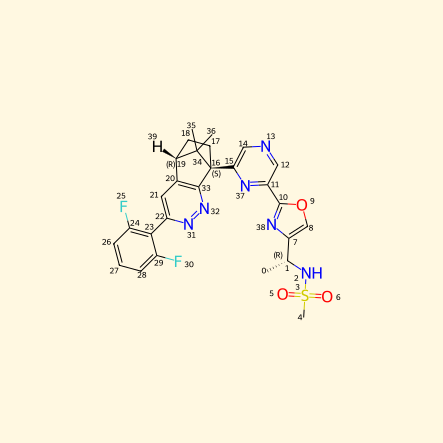 C[C@@H](NS(C)(=O)=O)c1coc(-c2cncc([C@@]34CC[C@@H](c5cc(-c6c(F)cccc6F)nnc53)C4(C)C)n2)n1